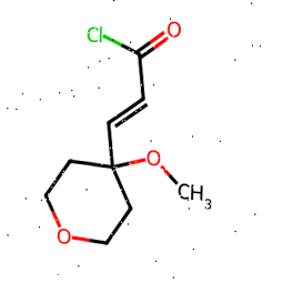 COC1(C=CC(=O)Cl)CCOCC1